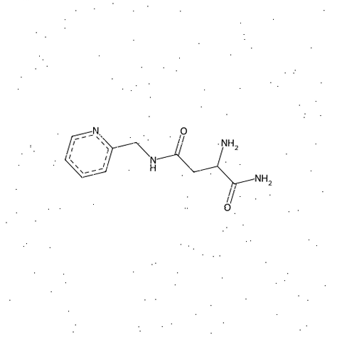 NC(=O)C(N)CC(=O)NCc1ccccn1